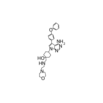 Nc1ncnc2c1c(-c1ccc(Oc3ccccc3)cc1)cn2C1CCC(O)(CNCCN2CCOCC2)CC1